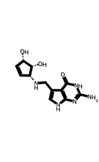 Nc1nc2[nH]cc(CN[C@@H]3C=C[C@H](O)[C@@H]3O)c2c(=O)[nH]1